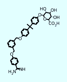 CC(C)(c1ccc(OCc2cccc(COc3ccc(C(=N)N)cc3)c2)cc1)c1ccc(O[C@@H]2O[C@H](C(=O)O)[C@@H](O)[C@H](O)[C@H]2O)cc1